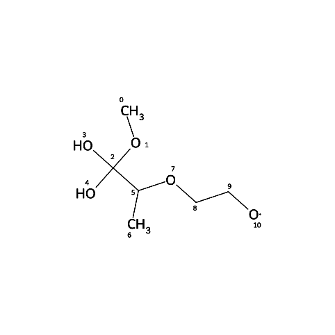 COC(O)(O)C(C)OCC[O]